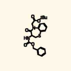 CC(C)(C)OC(=O)CN1C(=O)C(NC(=O)OCc2ccccc2)CSc2ccccc21